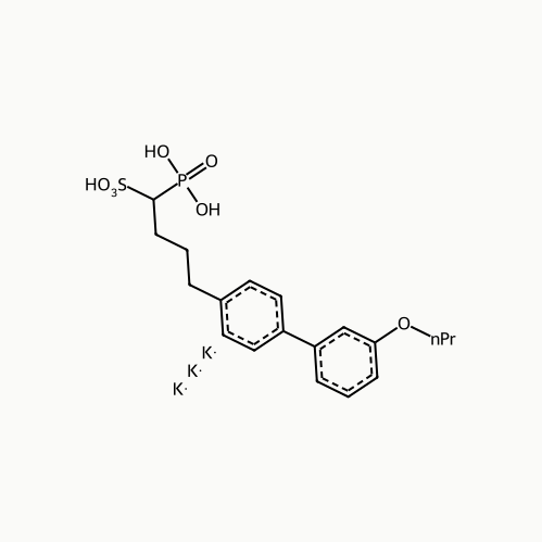 CCCOc1cccc(-c2ccc(CCCC(P(=O)(O)O)S(=O)(=O)O)cc2)c1.[K].[K].[K]